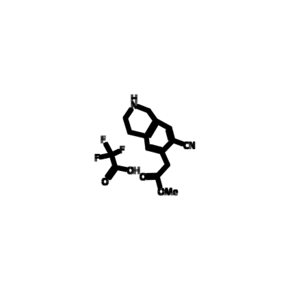 COC(=O)Cc1cc2c(cc1C#N)CNCC2.O=C(O)C(F)(F)F